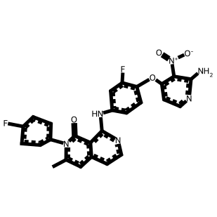 Cc1cc2ccnc(Nc3ccc(Oc4ccnc(N)c4[N+](=O)[O-])c(F)c3)c2c(=O)n1-c1ccc(F)cc1